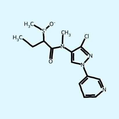 CCC(C(=O)N(C)c1cn(-c2cccnc2)nc1Cl)[S+](C)[O-]